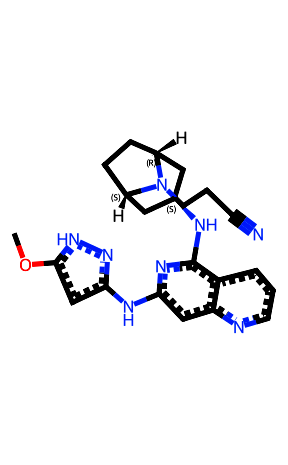 COc1cc(Nc2cc3ncccc3c(N[C@@H]3C[C@H]4CC[C@@H](C3)N4CCC#N)n2)n[nH]1